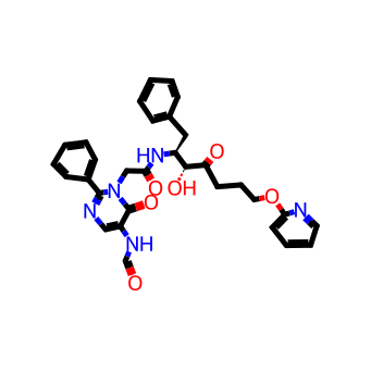 O=CNc1cnc(-c2ccccc2)n(CC(=O)N[C@@H](Cc2ccccc2)[C@@H](O)C(=O)CCCOc2ccccn2)c1=O